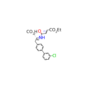 CCOC(=O)/C=C/C(=O)N[C@@H](CC(=O)O)Cc1ccc(-c2cccc(Cl)c2)cc1